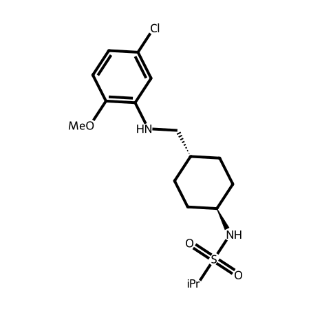 COc1ccc(Cl)cc1NC[C@H]1CC[C@H](NS(=O)(=O)C(C)C)CC1